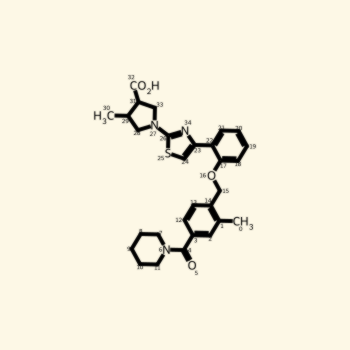 Cc1cc(C(=O)N2CCCCC2)ccc1COc1ccccc1-c1csc(N2CC(C)C(C(=O)O)C2)n1